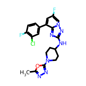 Cc1nnc(N2CCC(Nc3nc4c(-c5ccc(F)c(Cl)c5)cc(F)cn4n3)CC2)o1